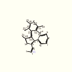 C/C=C\C1=C(c2ccccc2)C(=C2C(C)=C(C)SC(C)=C2C)C(C)C1